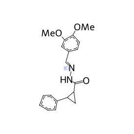 COc1ccc(/C=N/NC(=O)C2CC2c2ccccc2)cc1OC